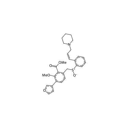 COC(=O)c1c(C[S+]([O-])c2ccccc2/C=C\CN2CCCCC2)ccc(-c2ccoc2)c1OC